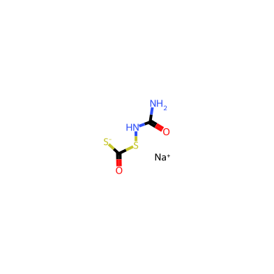 NC(=O)NSC(=O)[S-].[Na+]